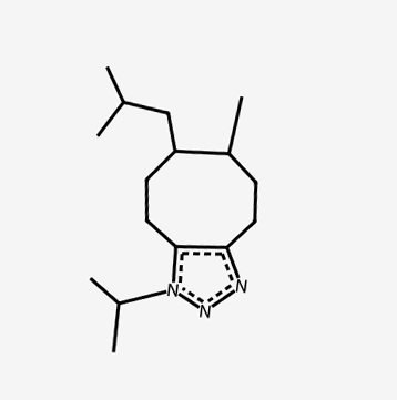 CC(C)CC1CCc2c(nnn2C(C)C)CCC1C